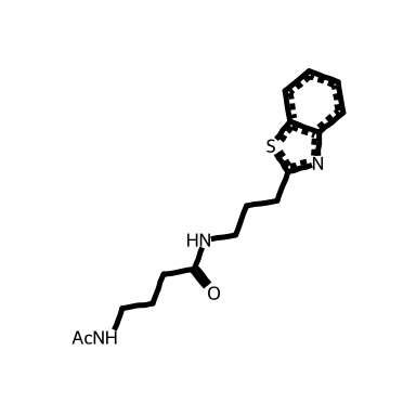 CC(=O)NCCCC(=O)NCCCc1nc2ccccc2s1